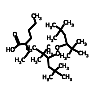 CC(C)(C)CC(OOC(CC(C)(C)C)C(C)(C)C)C(C)(C)C.CCCCC(CC)C(=O)O